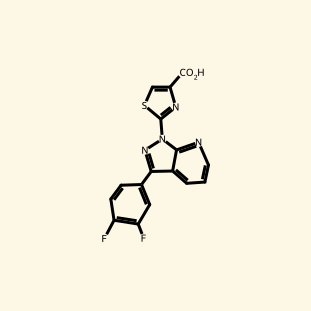 O=C(O)c1csc(-n2nc(-c3ccc(F)c(F)c3)c3cccnc32)n1